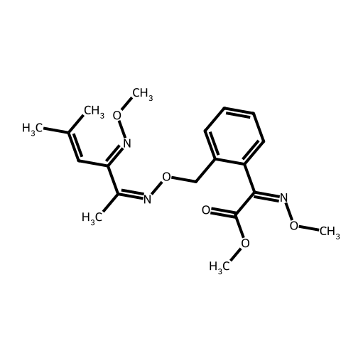 CON=C(C=C(C)C)C(C)=NOCc1ccccc1C(=NOC)C(=O)OC